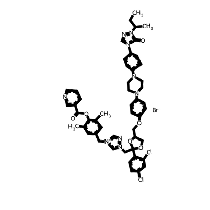 CCC(C)n1ncn(-c2ccc(N3CCN(c4ccc(OCC5COC(Cn6c[n+](Cc7cc(C)c(OC(=O)c8cccnc8)c(C)c7)cn6)(c6ccc(Cl)cc6Cl)O5)cc4)CC3)cc2)c1=O.[Br-]